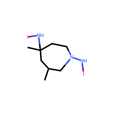 CC1CN(NI)CCC(C)(NI)C1